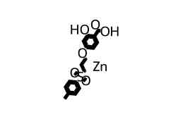 Cc1ccc(S(=O)(=O)CCCOc2ccc(C(=O)O)c(O)c2)cc1.[Zn]